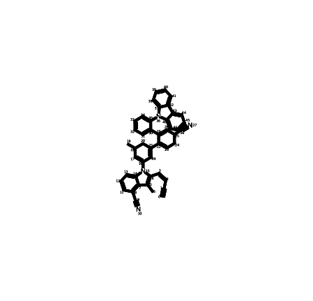 C#C/C=C\c1c(C)c2c(C#N)cccc2n1C1=CC(C)CC(C2=CCC(C#N)C=C2c2ccccc2-n2c3ccccc3c3ccccc32)=C1